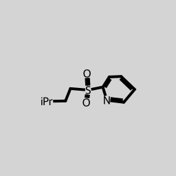 CC(C)CCS(=O)(=O)c1ccccn1